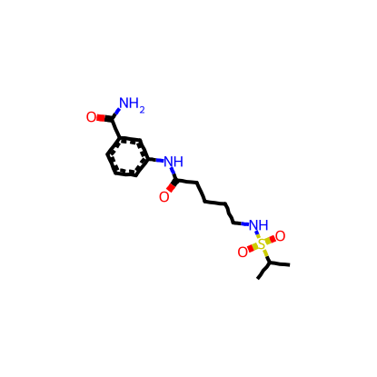 CC(C)S(=O)(=O)NCCCCC(=O)Nc1cccc(C(N)=O)c1